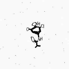 C=C(C)C(=O)Nc1cc(Cl)c(O)c(Cl)c1